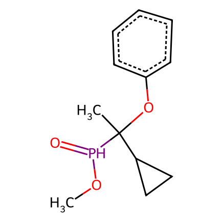 CO[PH](=O)C(C)(Oc1ccccc1)C1CC1